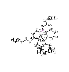 CCCCc1ccc(P(CCCC)C2CCCCC2)c(CCCC)c1CCCC